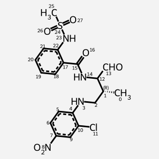 C[C@H](CNc1ccc([N+](=O)[O-])cc1Cl)C(C=O)NC(=O)c1ccccc1NS(C)(=O)=O